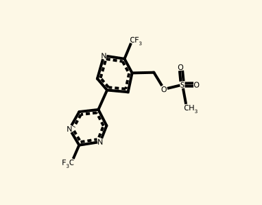 CS(=O)(=O)OCc1cc(-c2cnc(C(F)(F)F)nc2)cnc1C(F)(F)F